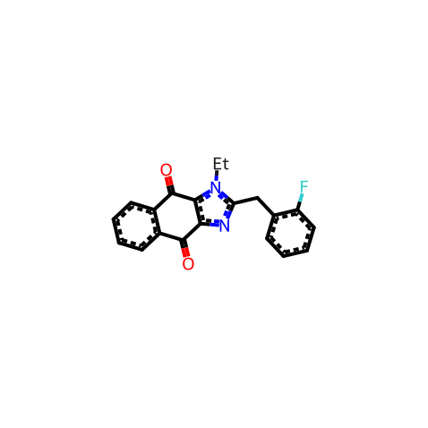 CCn1c(Cc2ccccc2F)nc2c1C(=O)c1ccccc1C2=O